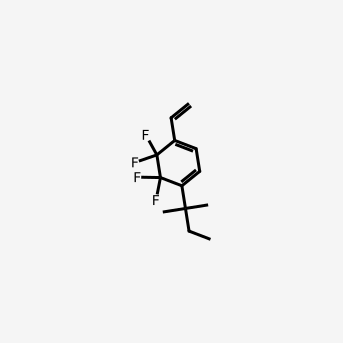 C=CC1=CC=C(C(C)(C)CC)C(F)(F)C1(F)F